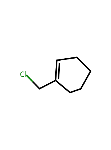 ClCC1=CCCCC1